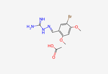 CC(=O)O.COc1cc(OC)c(C=NNC(=N)N)cc1Br